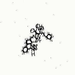 CC(C)c1nc2c(c(=O)n(C)c(=O)n2CCc2ccccc2)n1Cc1ccc(-c2ccccc2-c2nnn[nH]2)cc1